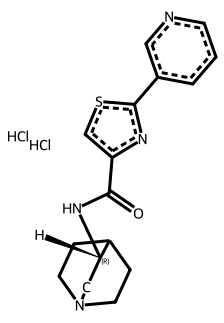 Cl.Cl.O=C(N[C@H]1CN2CCC1CC2)c1csc(-c2cccnc2)n1